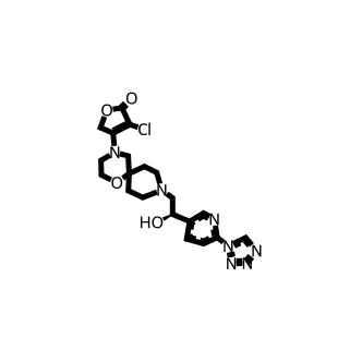 O=C1OCC(N2CCOC3(CCN(C[C@H](O)c4ccc(-n5cnnn5)nc4)CC3)C2)=C1Cl